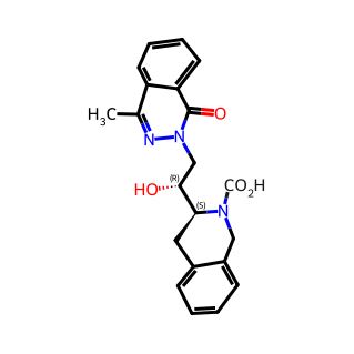 Cc1nn(C[C@@H](O)[C@@H]2Cc3ccccc3CN2C(=O)O)c(=O)c2ccccc12